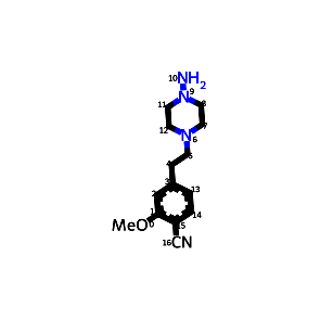 COc1cc(CCN2CCN(N)CC2)ccc1C#N